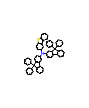 c1ccc(C2(c3ccccc3)c3ccccc3-c3cc(N(c4ccc5c(c4)C(c4ccccc4)(c4ccccc4)c4ccccc4-5)c4ccc5sc6ccccc6c5c4)ccc32)cc1